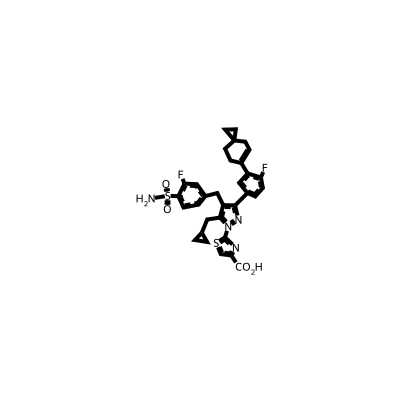 NS(=O)(=O)c1ccc(Cc2c(-c3ccc(F)c(C4=CCC5(CC4)CC5)c3)nn(-c3nc(C(=O)O)cs3)c2CC2CC2)cc1F